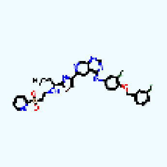 CCC(NCCS(=O)(=O)c1ccccn1)c1nc(-c2cc3c(Nc4ccc(OCc5cccc(F)c5)c(Cl)c4)ncnc3cn2)cs1